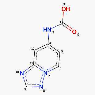 O=C(O)Nc1ccn2ncnc2c1